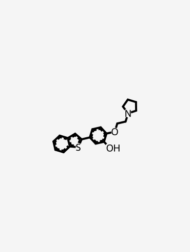 Oc1cc(-c2cc3ccccc3s2)ccc1OCCN1CCCC1